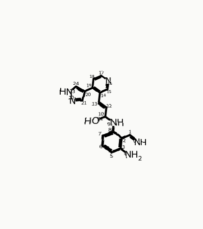 N=Cc1c(N)cccc1NC(O)/C=C/c1cnccc1-c1cn[nH]c1